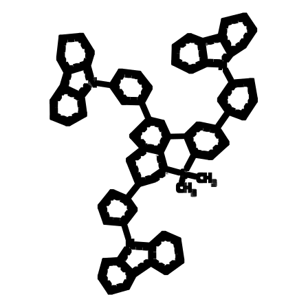 CS1(C)c2ccc(-c3cccc(-n4c5ccccc5c5ccccc54)c3)cc2-c2cc(-c3cccc(-n4c5ccccc5c5ccccc54)c3)cc3cc(-c4cccc(-n5c6ccccc6c6ccccc65)c4)cc1c23